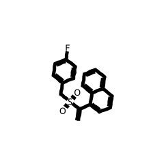 C=C(c1cccc2ccccc12)S(=O)(=O)Cc1ccc(F)cc1